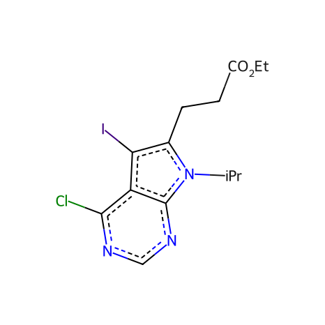 CCOC(=O)CCc1c(I)c2c(Cl)ncnc2n1C(C)C